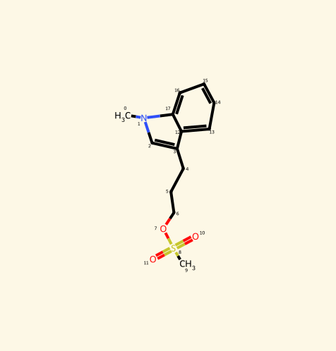 Cn1cc(CCCOS(C)(=O)=O)c2ccccc21